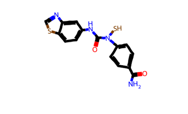 NC(=O)c1ccc(N(S)C(=O)Nc2ccc3scnc3c2)cc1